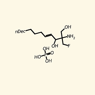 CCCCCCCCCCCCCC=CC(O)C(N)(CO)CF.O=P(O)(O)O